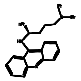 CCC[C@@H](CCCN(C(C)C)C(C)C)Nc1c2ccccc2nc2ccccc12